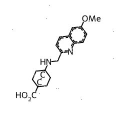 COc1ccc2nc(CNC34CCC(C(=O)O)(CC3)CC4)ccc2c1